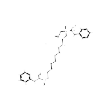 CN(CCCCCCCCCCC[N+](C)(CCO)C(O)Cc1ccccc1)C(O)Cc1ccccc1.[Cl-]